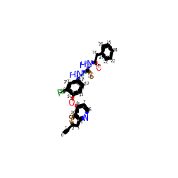 C#Cc1cc2nccc(Oc3ccc(NC(=S)NC(=O)Cc4ccccc4)cc3F)c2s1